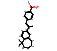 C/C(=C\c1ccc(C(=O)O)cc1)c1ccc2c(c1)CCCCC2(C)C